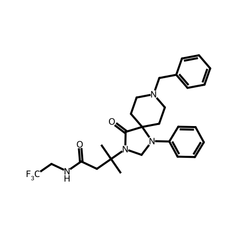 CC(C)(CC(=O)NCC(F)(F)F)N1CN(c2ccccc2)C2(CCN(Cc3ccccc3)CC2)C1=O